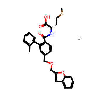 CSCC[C@H](NC(=O)c1ccc(COCc2cc3ccccc3o2)cc1-c1ccccc1C)C(=O)O.[Li]